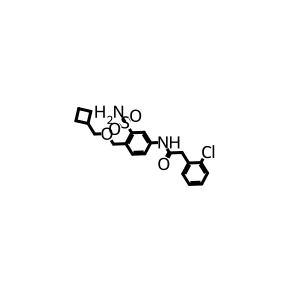 NS(=O)(=O)c1cc(NC(=O)Cc2ccccc2Cl)ccc1COCC1CCC1